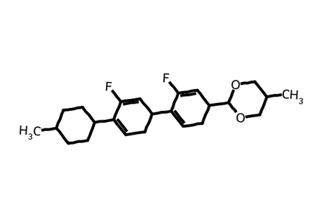 CC1CCC(C2=CCC(C3=CCC(C4OCC(C)CO4)C=C3F)C=C2F)CC1